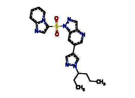 CCCC(CC)n1cc(-c2cnc3cnn(S(=O)(=O)c4cnc5ccccn45)c3c2)cn1